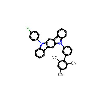 N#Cc1cc(C#N)c(-c2cccc(-n3c4ccccc4c4cc5c(cc43)c3ccccc3n5-c3ccc(F)cc3)c2)c(C#N)c1